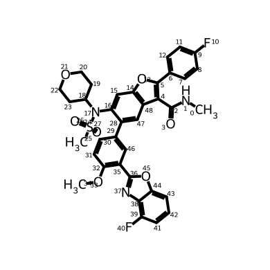 CNC(=O)c1c(-c2ccc(F)cc2)oc2cc(N(C3CCOCC3)S(C)(=O)=O)c(-c3ccc(OC)c(-c4nc5c(F)cccc5o4)c3)cc12